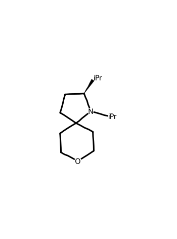 CC(C)[C@@H]1CCC2(CCOCC2)N1C(C)C